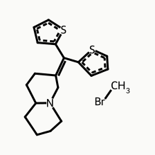 CBr.c1csc(C(=C2CCC3CCCCN3C2)c2cccs2)c1